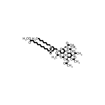 CCCCCCCCSCC(CO[C@H]1O[C@H](COC(C)=O)[C@@H](O[C@@H]2O[C@H](COC(C)=O)[C@H](OC(C)=O)[C@H](OC(C)=O)[C@H]2OC(C)=O)[C@H](OC(C)=O)[C@H]1OC(C)=O)CS(=O)(=O)CCCCCCCCCCC(=O)OC